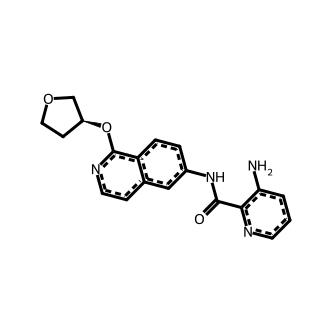 Nc1cccnc1C(=O)Nc1ccc2c(O[C@H]3CCOC3)nccc2c1